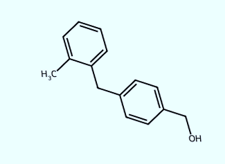 Cc1ccccc1Cc1ccc(CO)cc1